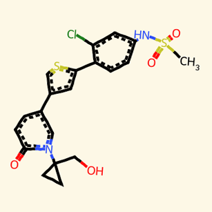 CS(=O)(=O)Nc1ccc(-c2cc(-c3ccc(=O)n(C4(CO)CC4)c3)cs2)c(Cl)c1